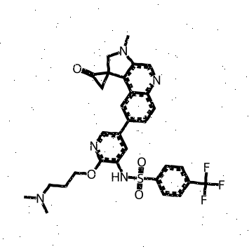 CN(C)CCCOc1ncc(-c2ccc3ncc4c(c3c2)C2(CC2=O)CN4C)cc1NS(=O)(=O)c1ccc(C(F)(F)F)cc1